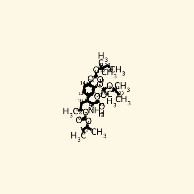 CCC(C)OC(=O)OC(C)CC(c1ccc(OC(=O)OC(C)(C)CC)c(OC(=O)OC(C)(C)CC)c1)[C@H](N)C(=O)O